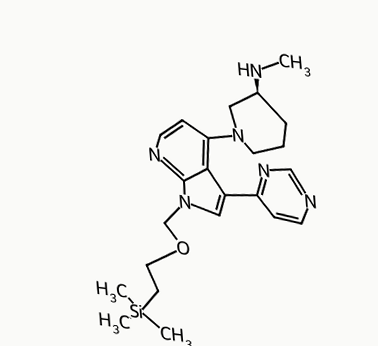 CN[C@H]1CCCN(c2ccnc3c2c(-c2ccncn2)cn3COCC[Si](C)(C)C)C1